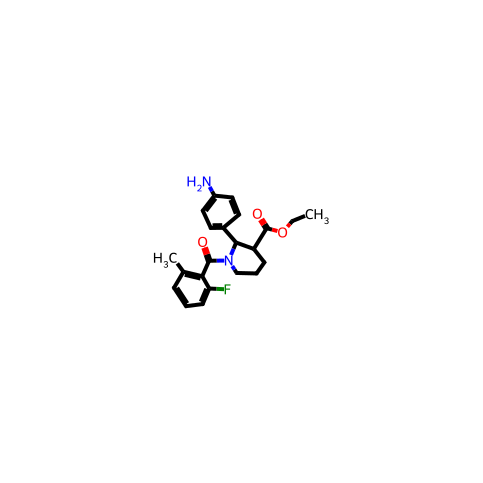 CCOC(=O)C1CCCN(C(=O)c2c(C)cccc2F)C1c1ccc(N)cc1